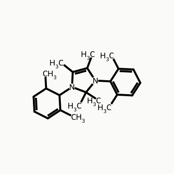 CC1=CC=CC(C)C1N1C(C)=C(C)N(c2c(C)cccc2C)C1(C)C